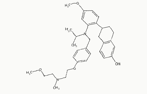 COCCN(C)CCOc1ccc(CN(c2cc(OC)ccc2C2CCc3cc(O)ccc3C2)C(C)C)cc1